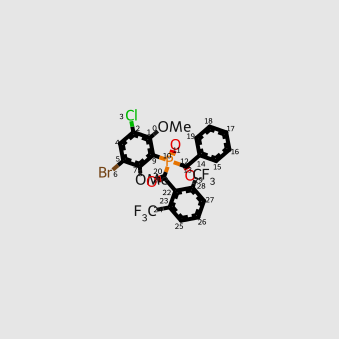 COc1c(Cl)cc(Br)c(OC)c1P(=O)(C(=O)c1ccccc1)C(=O)c1c(C(F)(F)F)cccc1C(F)(F)F